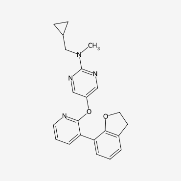 CN(CC1CC1)c1ncc(Oc2ncccc2-c2cccc3c2OCC3)cn1